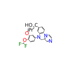 CC(C)Oc1cc(N(Cc2cnccn2)c2cccc(C(=O)O)c2)ccc1OC(F)F